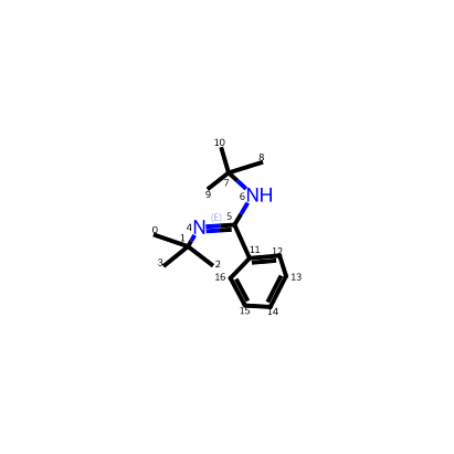 CC(C)(C)/N=C(/NC(C)(C)C)c1ccccc1